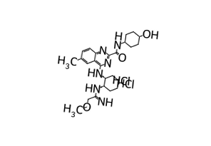 COCC(=N)N[C@@H]1CCCC[C@@H]1Nc1nc(C(=O)NC2CCC(O)CC2)nc2ccc(C)cc12.Cl.Cl